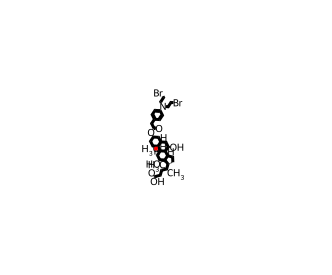 C[C@H](CCC(=O)O)[C@H]1CC[C@H]2[C@@H]3[C@H](O)C[C@@H]4C[C@H](OC(=O)Cc5ccc(N(CCBr)CCBr)cc5)CC[C@]4(C)[C@H]3C[C@H](O)[C@]12C